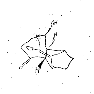 O=C1CC[C@@H](O)[C@H]2C3CCC(C3=C(Cl)Cl)[C@H]12